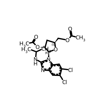 CC(=O)OC[C@@H]1C[C@@H](OC(C)=O)[C@H](n2c(NC(C)C)nc3cc(Cl)c(Cl)cc32)O1